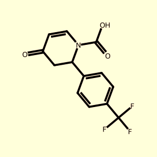 O=C1C=CN(C(=O)O)C(c2ccc(C(F)(F)F)cc2)C1